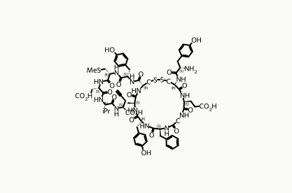 C#CC[C@H](NC(=O)[C@@H](NC(=O)[C@H](CC(=O)O)NC(=O)[C@H](CSC)NC(=O)[C@H](Cc1ccc(O)cc1)NC(=O)[C@@H]1CSSC[C@H](NC(=O)[C@@H](N)Cc2ccc(O)cc2)C(=O)N[C@@H](CCC(=O)O)C(=O)NCC(=O)N[C@@H](Cc2ccccc2)C(=O)N[C@H](Cc2ccc(O)cc2)C(=O)N[C@@H](C)C(=O)N1)C(C)C)C(=O)O